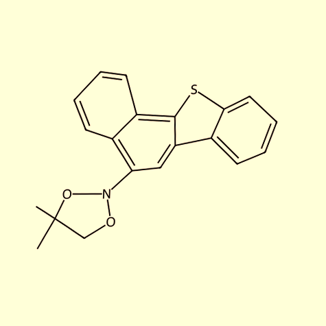 CC1(C)CON(c2cc3c4ccccc4sc3c3ccccc23)O1